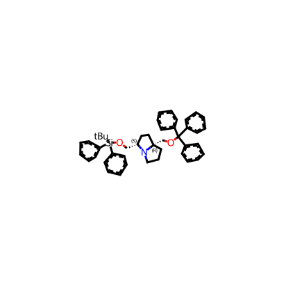 CC(C)(C)[Si](OC[C@@H]1CC[C@@]2(COC(c3ccccc3)(c3ccccc3)c3ccccc3)CCCN12)(c1ccccc1)c1ccccc1